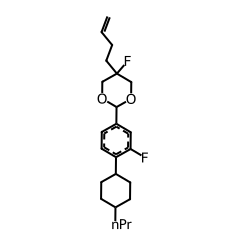 C=CCCC1(F)COC(c2ccc(C3CCC(CCC)CC3)c(F)c2)OC1